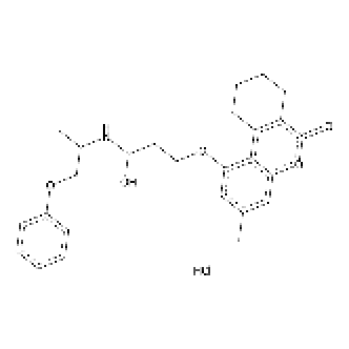 Cc1cc(OCCC(O)NC(C)COc2ccccc2)c2c3c(c(=O)oc2c1)CCCC3.Cl